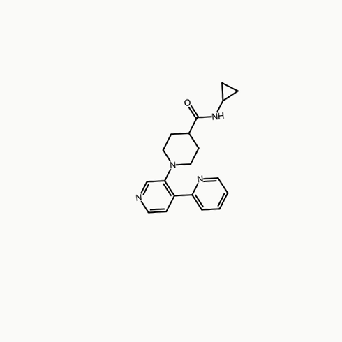 O=C(NC1CC1)C1CCN(c2cnccc2-c2ccccn2)CC1